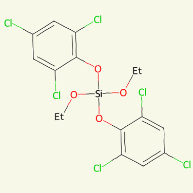 CCO[Si](OCC)(Oc1c(Cl)cc(Cl)cc1Cl)Oc1c(Cl)cc(Cl)cc1Cl